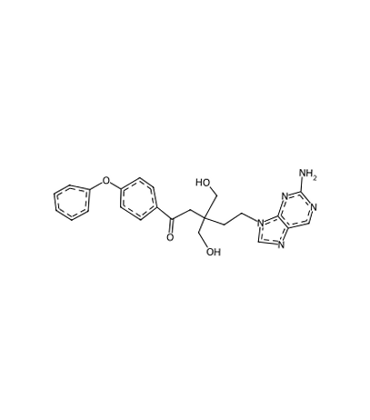 Nc1ncc2ncn(CCC(CO)(CO)CC(=O)c3ccc(Oc4ccccc4)cc3)c2n1